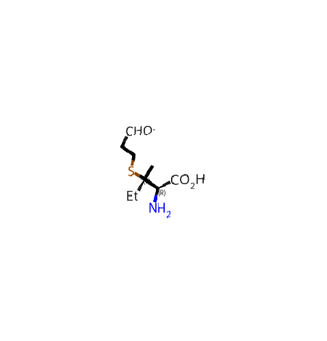 CC[C@](C)(SCC[C]=O)[C@H](N)C(=O)O